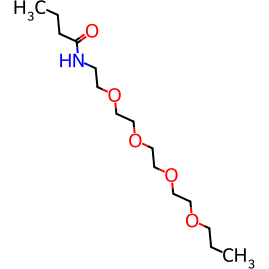 CCCOCCOCCOCCOCCNC(=O)CCC